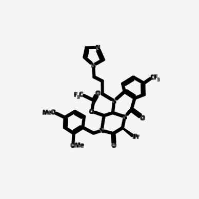 COc1ccc(CN2C(=O)[C@H](C(C)C)N3C(=O)c4cc(C(F)(F)F)ccc4N(CCCn4ccnc4)C3C2OC(=O)C(F)(F)F)c(OC)c1